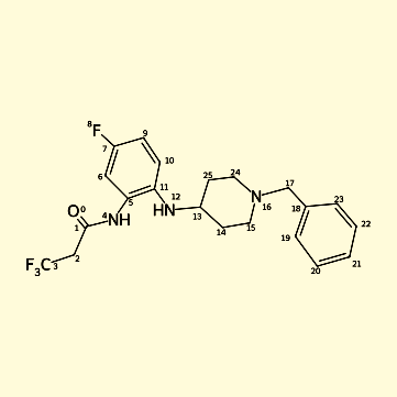 O=C(CC(F)(F)F)Nc1cc(F)ccc1NC1CCN(Cc2ccccc2)CC1